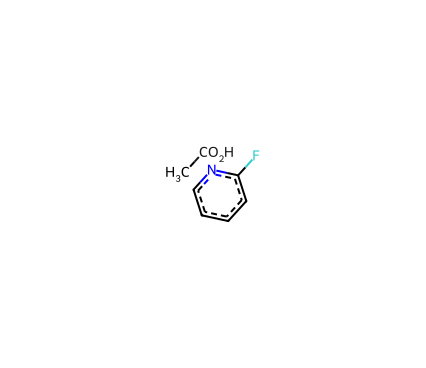 CC(=O)O.Fc1ccccn1